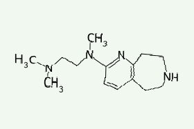 CN(C)CCN(C)c1ccc2c(n1)CCNCC2